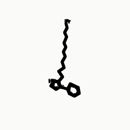 CC(C)CCCCCCCCCCCc1[nH]cc[n+]1-c1ccccc1